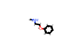 [CH2]NCCOc1ccccc1